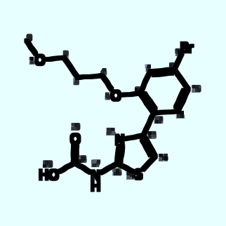 COCCCOc1cc(Br)ccc1-c1csc(NC(=O)O)n1